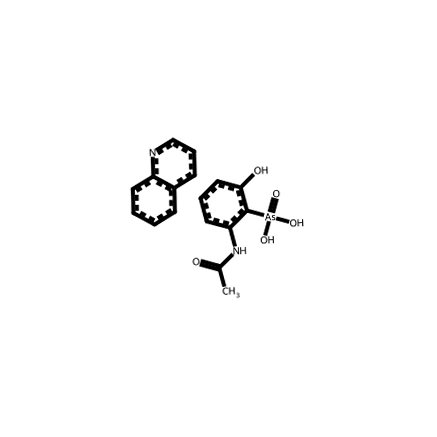 CC(=O)Nc1cccc(O)c1[As](=O)(O)O.c1ccc2ncccc2c1